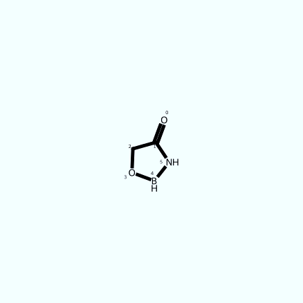 O=C1COBN1